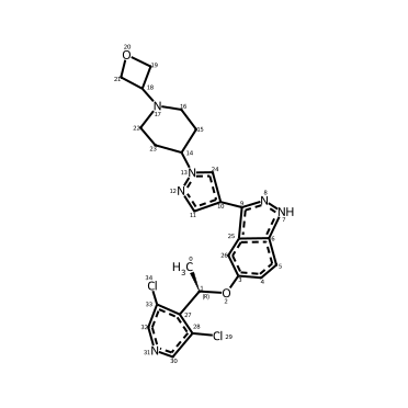 C[C@@H](Oc1ccc2[nH]nc(-c3cnn(C4CCN(C5COC5)CC4)c3)c2c1)c1c(Cl)cncc1Cl